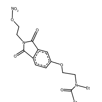 CCC(=O)N(CC)CCOc1ccc2c(c1)C(=O)N(CCO[N+](=O)[O-])C2=O